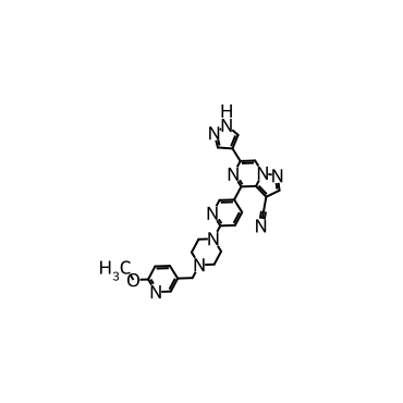 COc1ccc(CN2CCN(c3ccc(-c4nc(-c5cn[nH]c5)cn5ncc(C#N)c45)cn3)CC2)cn1